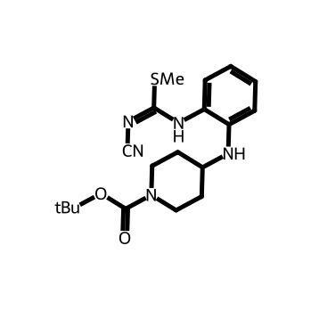 CS/C(=N/C#N)Nc1ccccc1NC1CCN(C(=O)OC(C)(C)C)CC1